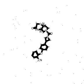 N#Cc1ccccc1Oc1ccc(C2CN(C(=O)N3CC[C@@H]4OCC(=O)N[C@@H]4C3)C2)cc1